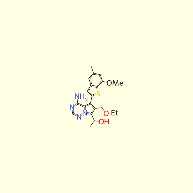 CCOCc1c(-c2cc3cc(C)cc(OC)c3s2)c2c(N)ncnn2c1C(C)O